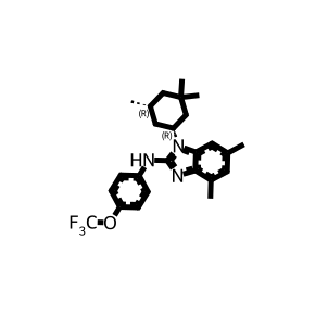 Cc1cc(C)c2nc(Nc3ccc(OC(F)(F)F)cc3)n([C@@H]3C[C@H](C)CC(C)(C)C3)c2c1